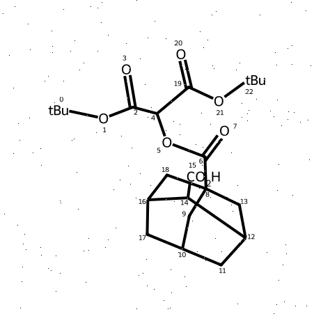 CC(C)(C)OC(=O)C(OC(=O)C12CC3CC(C1)C(C(=O)O)C(C3)C2)C(=O)OC(C)(C)C